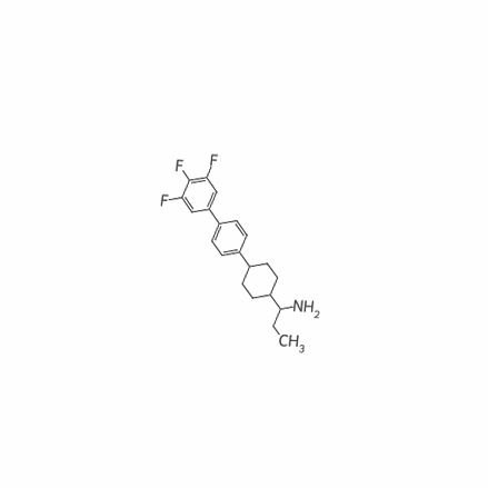 CCC(N)C1CCC(c2ccc(-c3cc(F)c(F)c(F)c3)cc2)CC1